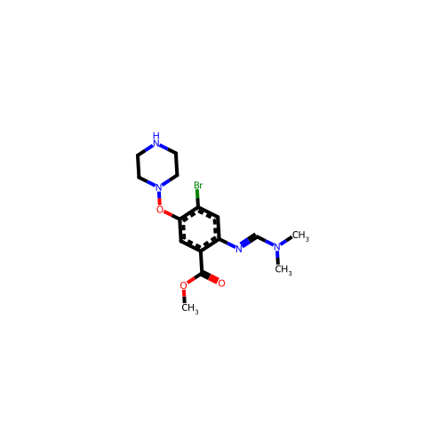 COC(=O)c1cc(ON2CCNCC2)c(Br)cc1N=CN(C)C